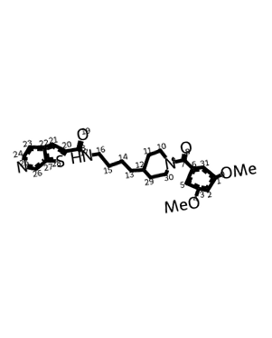 COc1cc(OC)cc(C(=O)N2CCC(CCCCNC(=O)c3cc4ccncc4s3)CC2)c1